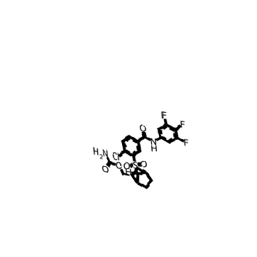 NC(=O)OC[C@H]1CC2CCC1[C@@H]2S(=O)(=O)c1cc(C(=O)Nc2cc(F)c(F)c(F)c2)ccc1Cl